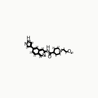 COCCN1CCC(C(=O)Nc2cc3cc(-c4cn[nH]c4)ccc3cn2)CC1